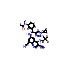 CC(=O)N(C)c1cccc(C(Nc2cc(C#N)c3ncc(C#N)c(NCC(C)(C)C)c3c2)c2cn(C3CC3)nn2)c1